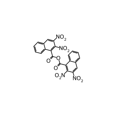 O=C(OC(=O)c1c([N+](=O)[O-])c([N+](=O)[O-])cc2ccccc12)c1c([N+](=O)[O-])c([N+](=O)[O-])cc2ccccc12